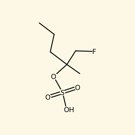 CCCC(C)(CF)OS(=O)(=O)O